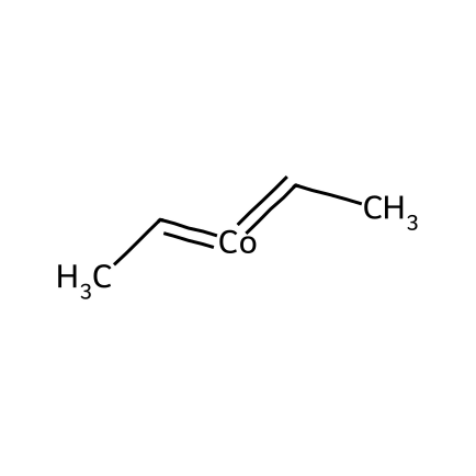 C[CH]=[Co]=[CH]C